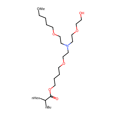 CCCCCCC(CCCC)C(=O)OCCCCOCCN(CCOCCO)CCOCCCCOC